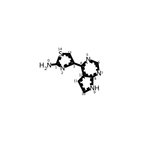 Nc1nc(-c2ncnc3[nH]ccc23)cs1